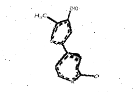 Cc1oc(-c2ccnc(Cl)c2)cc1C=O